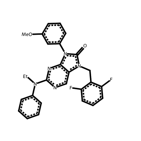 CCN(c1ccccc1)c1ncc2c(n1)n(-c1cccc(OC)c1)c(=O)n2Cc1c(F)cccc1F